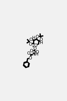 CC1(C)OC2[C@@H](CO[C@@]3(COS(=O)(=O)NC(=O)OCc4ccccc4)OC(C)(C)O[C@@H]23)O1